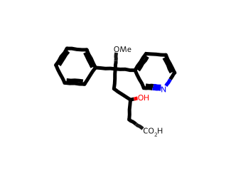 COC(CC(O)CC(=O)O)(c1ccccc1)c1cccnc1